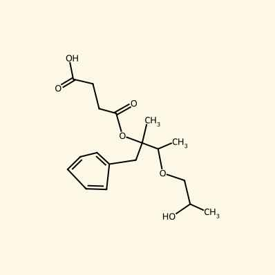 CC(O)COC(C)C(C)(Cc1ccccc1)OC(=O)CCC(=O)O